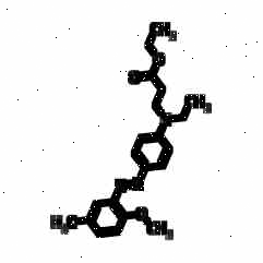 CCOC(=O)CCN(CC)c1ccc(N=Nc2cc(C)ccc2OC)cc1